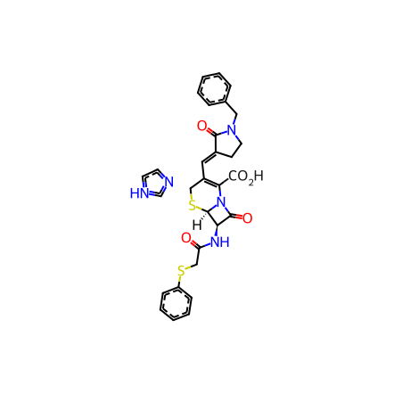 O=C(CSc1ccccc1)N[C@@H]1C(=O)N2C(C(=O)O)=C(C=C3CCN(Cc4ccccc4)C3=O)CS[C@H]12.c1c[nH]cn1